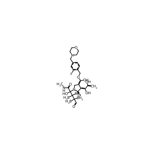 BC(B)(C=O)C(B)(B)C(O)(C(=O)NC)N1CC(=C(/O)OCc2ccc(CN3CCOCC3)cc2F)/C(=C(/O)C(=C)O)C1=O